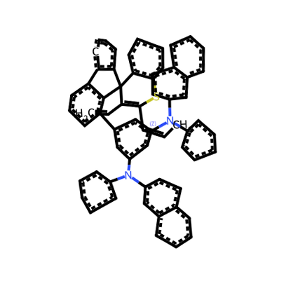 C=CC1=C(/C=C\C)Sc2ccccc2C12c1ccccc1-c1cccc(-c3cc(N(c4ccccc4)c4ccc5ccccc5c4)cc(N(c4ccccc4)c4ccc5ccccc5c4)c3)c12